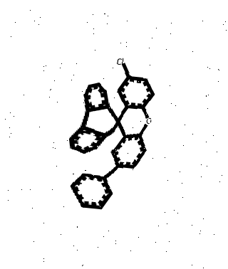 Clc1ccc2c(c1)C1(c3cc(-c4ccccc4)ccc3O2)c2ccccc2-c2ccccc21